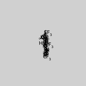 Cc1ccc(OCCC(F)(F)F)c(N2C(=O)CS/C2=N\C(=O)Nc2ccc(-c3ncn(-c4ccc(C(F)(F)F)cn4)n3)cc2C(F)(F)F)c1